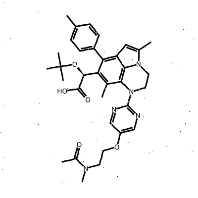 CC(=O)N(C)CCOc1cnc(N2CCn3c(C)cc4c(-c5ccc(C)cc5)c([C@H](OC(C)(C)C)C(=O)O)c(C)c2c43)nc1